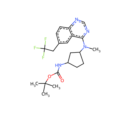 CN(c1ncnc2ccc(CC(F)(F)F)cc12)C1CCC(NC(=O)OC(C)(C)C)C1